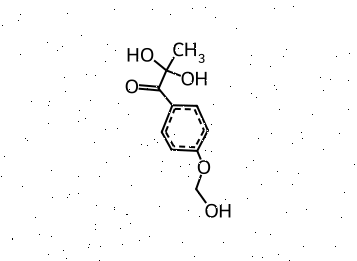 CC(O)(O)C(=O)c1ccc(OCO)cc1